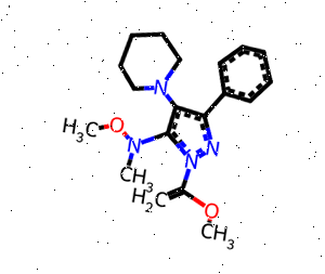 C=C(OC)n1nc(-c2ccccc2)c(N2CCCCC2)c1N(C)OC